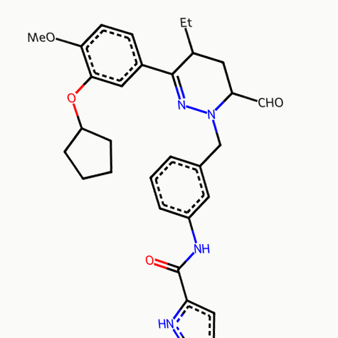 CCC1CC(C=O)N(Cc2cccc(NC(=O)c3ccc[nH]3)c2)N=C1c1ccc(OC)c(OC2CCCC2)c1